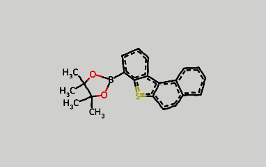 CC1(C)OB(c2cccc3c2sc2ccc4ccccc4c23)OC1(C)C